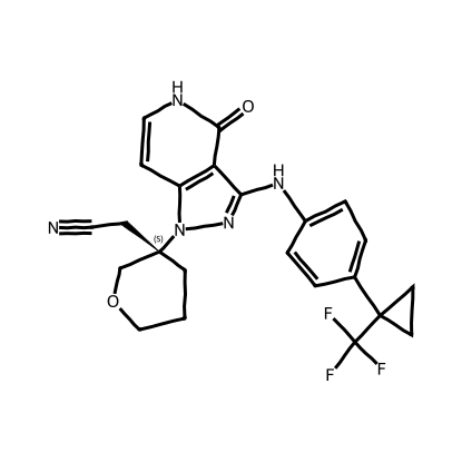 N#CC[C@@]1(n2nc(Nc3ccc(C4(C(F)(F)F)CC4)cc3)c3c(=O)[nH]ccc32)CCCOC1